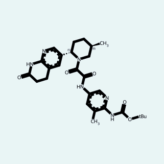 Cc1cc(NC(=O)C(=O)N2C[C@H](C)CC[C@H]2c2cnc3c(c2)CCC(=O)N3)cnc1NC(=O)OC(C)(C)C